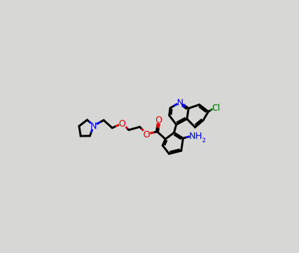 Nc1cccc(C(=O)OCCOCCN2CCCC2)c1-c1ccnc2cc(Cl)ccc12